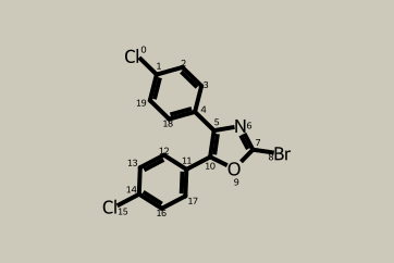 Clc1ccc(-c2nc(Br)oc2-c2ccc(Cl)cc2)cc1